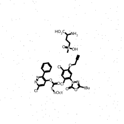 C#CCOc1cc(-n2nc(C(C)(C)C)oc2=O)c(Cl)cc1Cl.CCCCCCCCSC(=O)Oc1cc(Cl)nnc1-c1ccccc1.CP(=O)(O)CCC(N)C(=O)O